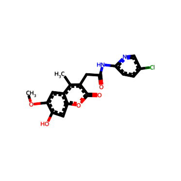 COc1cc2c(C)c(CC(=O)Nc3ccc(Cl)cn3)c(=O)oc2cc1O